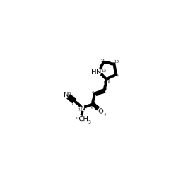 CN(C#N)C(=O)C=CC1CCCN1